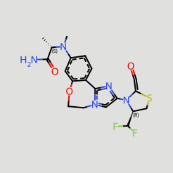 C[C@@H](C(N)=O)N(C)c1ccc2c(c1)OCCn1cc(N3C(=C=O)SC[C@H]3C(F)F)nc1-2